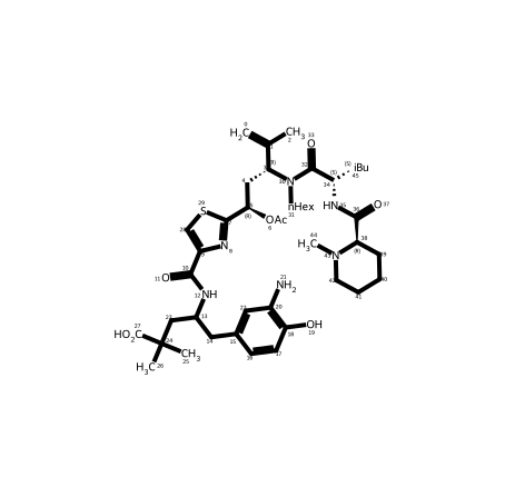 C=C(C)[C@@H](C[C@@H](OC(C)=O)c1nc(C(=O)NC(Cc2ccc(O)c(N)c2)CC(C)(C)C(=O)O)cs1)N(CCCCCC)C(=O)[C@@H](NC(=O)[C@H]1CCCCN1C)[C@@H](C)CC